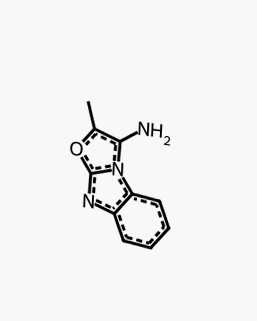 Cc1oc2nc3ccccc3n2c1N